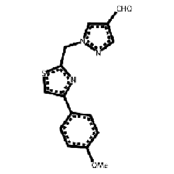 COc1ccc(-c2csc(Cn3cc(C=O)cn3)n2)cc1